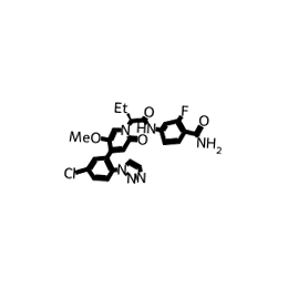 CC[C@@H](C(=O)Nc1ccc(C(N)=O)c(F)c1)n1cc(OC)c(-c2cc(Cl)ccc2-n2ccnn2)cc1=O